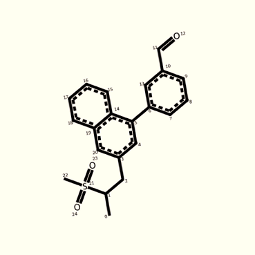 CC(Cc1cc(-c2cccc(C=O)c2)c2ccccc2c1)S(C)(=O)=O